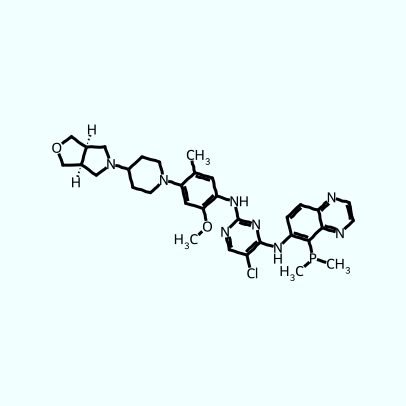 COc1cc(N2CCC(N3C[C@H]4COC[C@H]4C3)CC2)c(C)cc1Nc1ncc(Cl)c(Nc2ccc3nccnc3c2P(C)C)n1